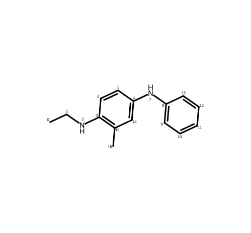 CCNc1ccc(Nc2ccccc2)cc1C